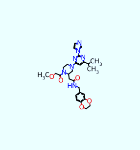 COCC(=O)N1CCN(c2cc(C(C)C)nc(-n3ccnc3)n2)CC1CC(=O)NCc1ccc2c(c1)OCCO2